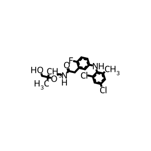 Cc1cc(Cl)cc(Cl)c1Nc1ccc(F)c(CC(=O)NCOC(C)(C)CO)c1